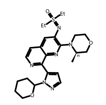 CCS(=O)(CC)=Nc1cc2ccnc(-c3ccnn3C3CCCCO3)c2nc1N1CCOC[C@H]1C